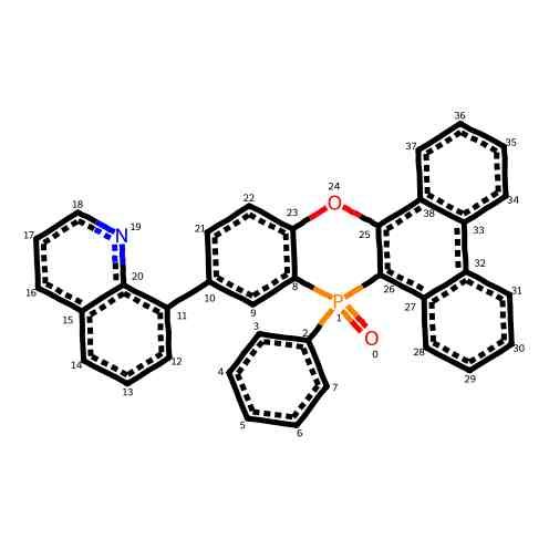 O=P1(c2ccccc2)c2cc(-c3cccc4cccnc34)ccc2Oc2c1c1ccccc1c1ccccc21